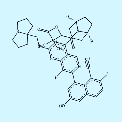 C#Cc1c(F)ccc2cc(O)cc(-c3ncc4c(N5C[C@H]6CC[C@@H](C5)N6C(=O)C5OC(=O)C5(C)C)nc(OCC56CCCN5CCC6)nc4c3F)c12